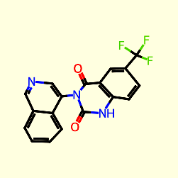 O=c1[nH]c2ccc(C(F)(F)F)cc2c(=O)n1-c1cncc2ccccc12